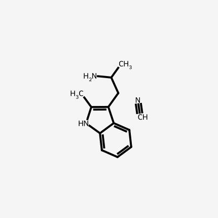 C#N.Cc1[nH]c2ccccc2c1CC(C)N